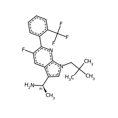 C[C@@H](N)c1cn(CC(C)(C)C)c2nc(-c3ccccc3C(F)(F)F)c(F)cc12